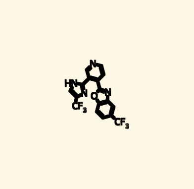 FC(F)(F)c1ccc2oc(-c3ccncc3-c3nc(C(F)(F)F)c[nH]3)nc2c1